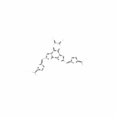 N#CC(C#N)=c1cc/c(=C\c2cc3c4c(c5cc(/C=c6\ccc(=C(C#N)C#N)s6)sc5c3s2)=NC(=N)C(=N)N=4)s1